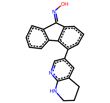 ON=C1c2ccccc2-c2c1cccc2-c1cnc2c(c1)CCCN2